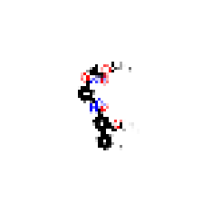 CCOC(=O)C1(NC(=O)c2cccc(-c3noc(-c4ccc(-c5ccccc5C)c(COC)c4)n3)c2)CC1